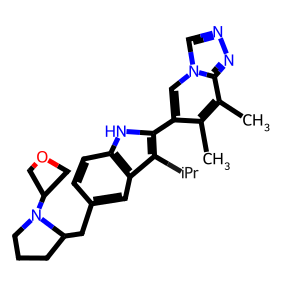 Cc1c(-c2[nH]c3ccc(CC4CCCN4C4COC4)cc3c2C(C)C)cn2cnnc2c1C